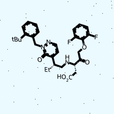 CC[C@@H](CN[C@@H](CC(=O)O)C(=O)COc1c(F)cccc1F)c1ccnn(Cc2ccccc2C(C)(C)C)c1=O